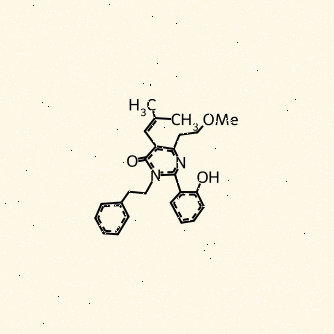 COCCc1nc(-c2ccccc2O)n(CCc2ccccc2)c(=O)c1C=C(C)C